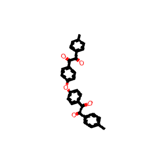 Cc1ccc(C(=O)C(=O)c2ccc(Oc3ccc(C(=O)C(=O)c4ccc(C)cc4)cc3)cc2)cc1